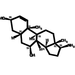 C[C@]12C=C[C@H](O)C[C@H]1C[C@H](O)[C@@H]1[C@@H]2CC[C@]2(C)[C@@H](N)CC[C@@H]12